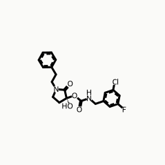 O=C(NCc1cc(F)cc(Cl)c1)O[C@@]1(O)CCN(CCc2ccccc2)C1=O